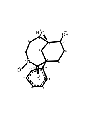 CCN1CCC[C@@]2(C)C[C@](c3ccccc3)(CCC2O)C1=O